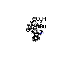 C/C=C\C1=C(C)C(COC(=O)N(C)C(CCC(=O)O)C(=O)OC(C)(C)C)c2ccccc21